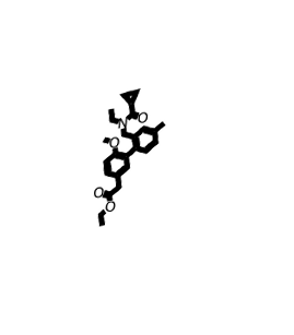 CCOC(=O)Cc1ccc(OC)c(-c2ccc(C)cc2CN(CC)C(=O)C2CC2)c1